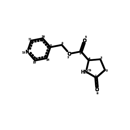 O=C1CCC(C(=O)OCc2ccncc2)N1